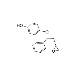 Oc1ccc(OC(CC2CO2)c2ccccc2)cc1